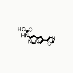 O=C(O)Nc1cc2cc(-c3cnco3)cn2cn1